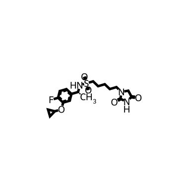 C[C@@H](NS(=O)(=O)CCCCCN1CC(=O)NC1=O)c1ccc(F)c(OC2CC2)c1